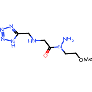 COCCN(N)C(=O)CNCc1nnn[nH]1